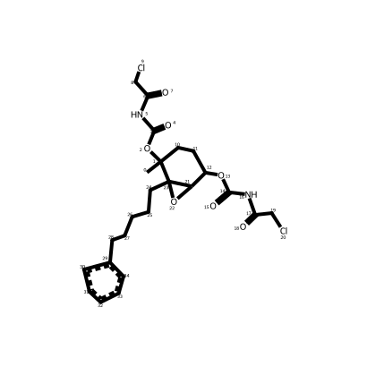 CC1(OC(=O)NC(=O)CCl)CCC(OC(=O)NC(=O)CCl)C2OC21CCCCCc1ccccc1